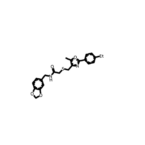 CCc1ccc(-c2nc(CSCC(=O)NCc3ccc4c(c3)OCO4)c(C)o2)cc1